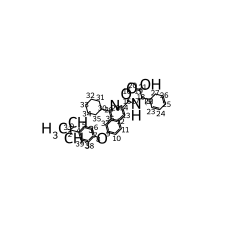 CC(C)(C)c1ccc(Oc2ccc3cc(C(=O)NC(C(=O)O)[C@@H]4C=CC=CC4)nc(C4CCCCC4)c3c2)cc1